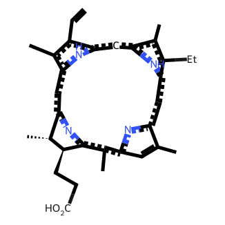 C=Cc1c(C)c2cc3nc(c(C)c4nc(cc5[nH]c(cc1[nH]2)c(C)c5CC)C(C)=C4)[C@@H](CCC(=O)O)[C@@H]3C